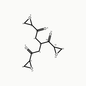 O=C(CC(CC(=O)C1CO1)C(=O)C1CO1)C1CO1